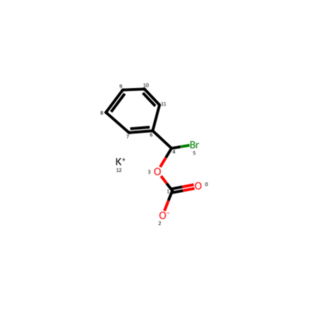 O=C([O-])OC(Br)c1ccccc1.[K+]